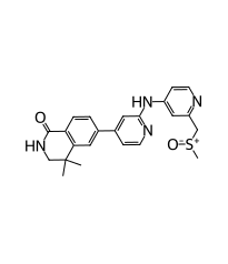 C[S+]([O-])Cc1cc(Nc2cc(-c3ccc4c(c3)C(C)(C)CNC4=O)ccn2)ccn1